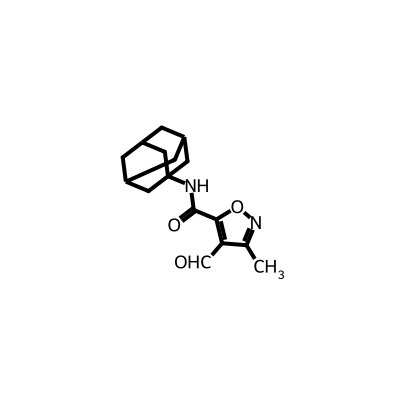 Cc1noc(C(=O)NC23CC4CC(CC(C4)C2)C3)c1C=O